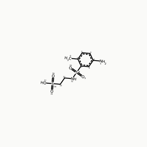 Cc1ccc(N)cc1S(=O)(=O)NCCS(=O)(=O)O